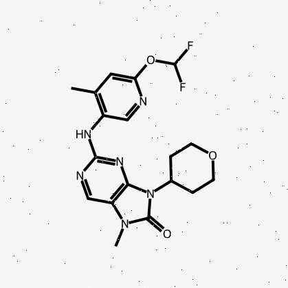 Cc1cc(OC(F)F)ncc1Nc1ncc2c(n1)n(C1CCOCC1)c(=O)n2C